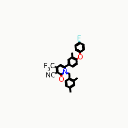 Cc1ccc(Cn2c(-c3ccc(Oc4ccc(F)cc4)c(C)c3)cc(C(F)(F)F)c(C#N)c2=O)c(C)c1